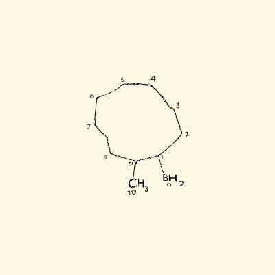 BC1CCCCCCCC1C